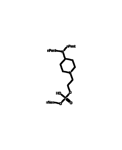 CCCCCCCCCOP(=O)(O)OCCN1CCC(N(CCCCC)CCCCC)CC1